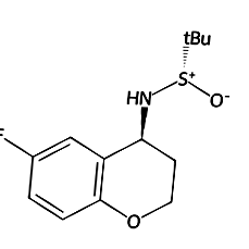 CC(C)(C)[S@+]([O-])N[C@H]1CCOc2ccc(F)cc21